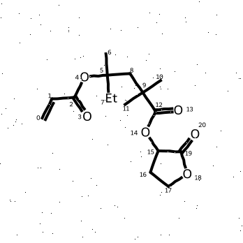 C=CC(=O)OC(C)(CC)CC(C)(C)C(=O)OC1CCOC1=O